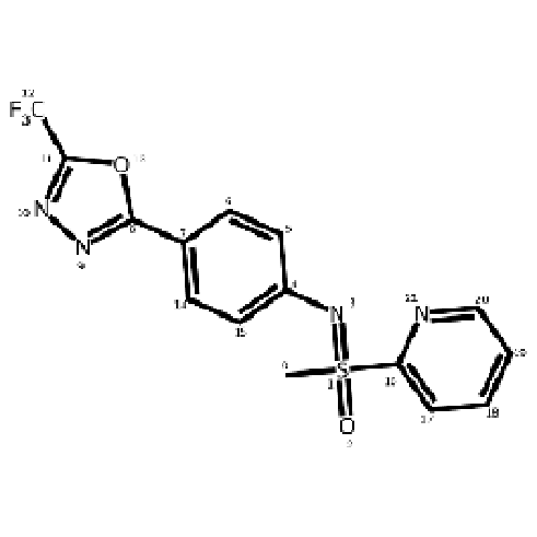 CS(=O)(=Nc1ccc(-c2nnc(C(F)(F)F)o2)cc1)c1ccccn1